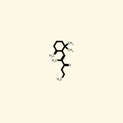 C=C1CCCC(C)(C)C1/C=C(\C)C(=O)CCC